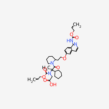 C=CCOC(=O)Nc1nccc2cc(OCCC3CCCCN3C(=O)[C@@](C)(C3CCCCC3)N(CC(=O)O)C(=O)OCC=C)ccc12